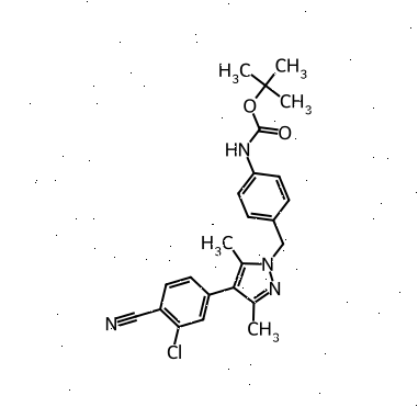 Cc1nn(Cc2ccc(NC(=O)OC(C)(C)C)cc2)c(C)c1-c1ccc(C#N)c(Cl)c1